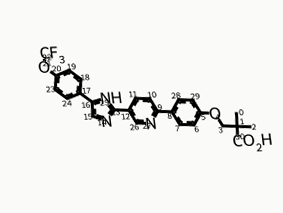 CC(C)(COc1ccc(-c2ccc(-c3ncc(-c4ccc(OC(F)(F)F)cc4)[nH]3)cn2)cc1)C(=O)O